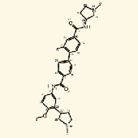 COc1ccc(NC(=O)c2ccc(-c3ccc(C(=O)NC4CCN(C)C4)cc3C)cc2)cc1C1CCN(C)C1